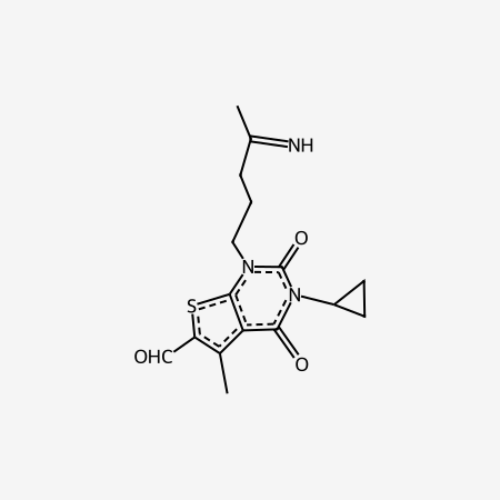 CC(=N)CCCn1c(=O)n(C2CC2)c(=O)c2c(C)c(C=O)sc21